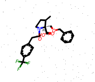 CC1CCN(C(=O)Cc2ccc(C(F)(F)F)cc2)[C@]1(COCc1ccccc1)C(=O)O